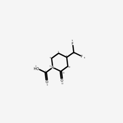 O=C(O)N1CCC(C(F)F)CC1=O